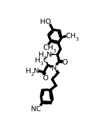 Cc1cc(O)cc(C)c1C[C@H](N)C(=O)N(CCCc1ccc(C#N)cc1)[C@H](C)C(N)=O